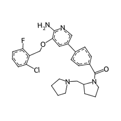 Nc1ncc(-c2ccc(C(=O)N3CCCC3CN3CCCC3)cc2)cc1OCc1c(F)cccc1Cl